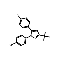 Oc1ccc(-c2cc(C(F)(F)F)nn2-c2ccc(Cl)cc2)cc1